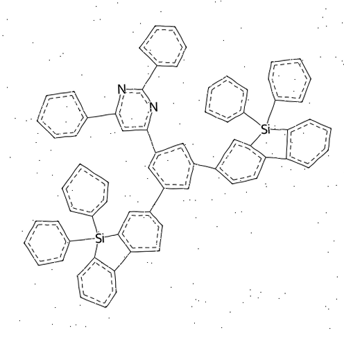 c1ccc(-c2cc(-c3cc(-c4ccc5c(c4)[Si](c4ccccc4)(c4ccccc4)c4ccccc4-5)cc(-c4ccc5c(c4)[Si](c4ccccc4)(c4ccccc4)c4ccccc4-5)c3)nc(-c3ccccc3)n2)cc1